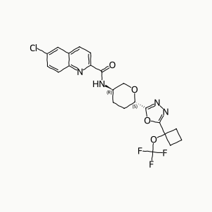 O=C(N[C@@H]1CC[C@@H](c2nnc(C3(OC(F)(F)F)CCC3)o2)OC1)c1ccc2cc(Cl)ccc2n1